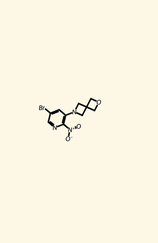 O=[N+]([O-])c1ncc(Br)cc1N1CC2(COC2)C1